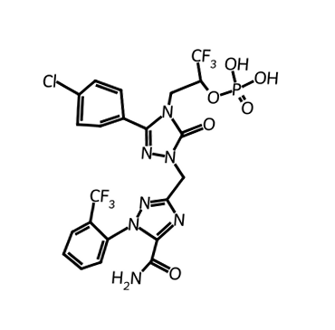 NC(=O)c1nc(Cn2nc(-c3ccc(Cl)cc3)n(CC(OP(=O)(O)O)C(F)(F)F)c2=O)nn1-c1ccccc1C(F)(F)F